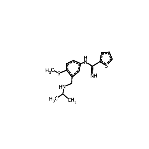 CSc1ccc(NC(=N)c2cccs2)cc1CNC(C)C